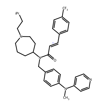 CC(C)CCN1CCCC(N(Cc2ccc(N(C)c3ccncc3)cc2)C(=O)/C=C/c2ccc(C(F)(F)F)cc2)CC1